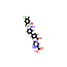 Cc1cc(S(=O)(=O)Nc2cccc(-c3ccc(C(=O)N4CCNC(C(=O)O)C4)cc3)c2)c(C)cc1Cl